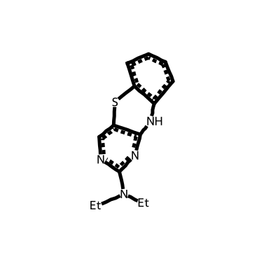 CCN(CC)c1ncc2c(n1)Nc1ccccc1S2